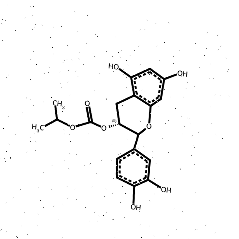 CC(C)OC(=O)O[C@@H]1Cc2c(O)cc(O)cc2OC1c1ccc(O)c(O)c1